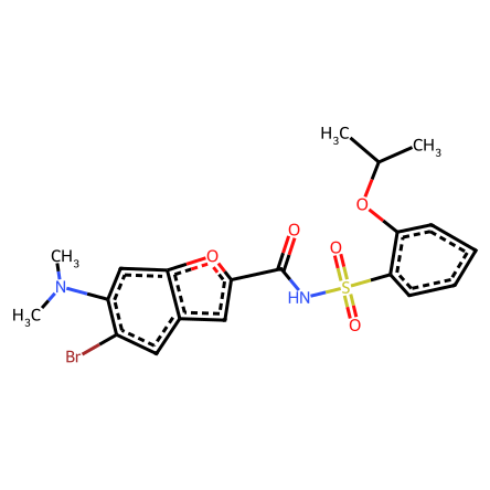 CC(C)Oc1ccccc1S(=O)(=O)NC(=O)c1cc2cc(Br)c(N(C)C)cc2o1